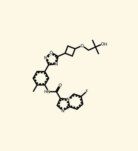 Cc1ccc(-c2noc(C3CC(OCC(C)(C)O)C3)n2)cc1NC(=O)c1cnc2ccc(F)cn12